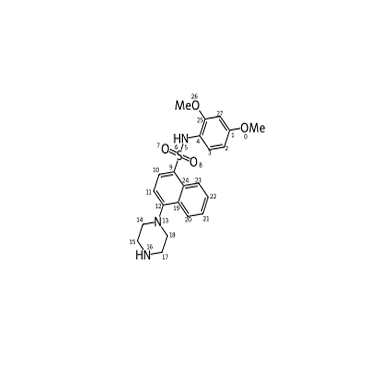 COc1ccc(NS(=O)(=O)c2ccc(N3CCNCC3)c3ccccc23)c(OC)c1